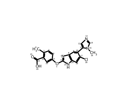 Cc1ccc(Oc2nc3cc(-c4cncn4C)c(Cl)cc3[nH]2)cc1C(=O)O